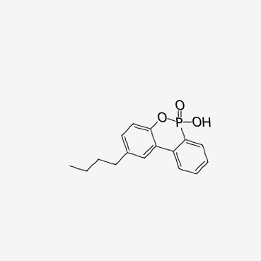 CCCCc1ccc2c(c1)-c1ccccc1P(=O)(O)O2